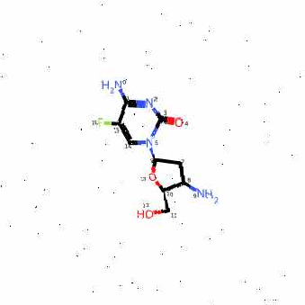 Nc1nc(=O)n([C@H]2CC(N)[C@@H](CO)O2)cc1F